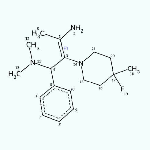 C/C(N)=C(\C(c1ccccc1)N(C)C)N1CCC(C)(F)CC1